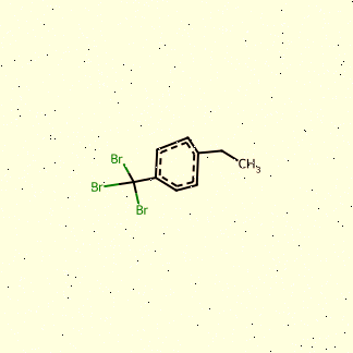 CCc1ccc(C(Br)(Br)Br)cc1